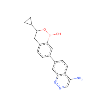 Nc1cnnc2cc(-c3ccc4c(c3)B(O)OC(C3CC3)C4)ccc12